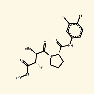 CCCC[C@@H](C(=O)N1CCC[C@H]1C(=O)Nc1ccc(Cl)c(Cl)c1)[C@H](F)C(=O)NO